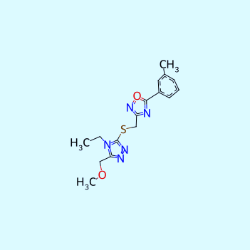 CCn1c(COC)nnc1SCc1noc(-c2cccc(C)c2)n1